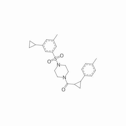 Cc1ccc(C2CC2C(=O)N2CCN(S(=O)(=O)c3cc(C)cc(C4CC4)c3)CC2)cc1